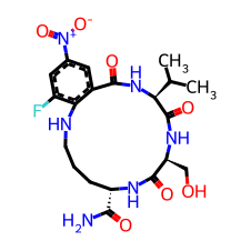 CC(C)[C@@H]1NC(=O)c2cc([N+](=O)[O-])cc(F)c2NCCC[C@@H](C(N)=O)NC(=O)[C@H](CO)NC1=O